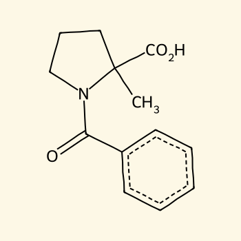 CC1(C(=O)O)CCCN1C(=O)c1ccccc1